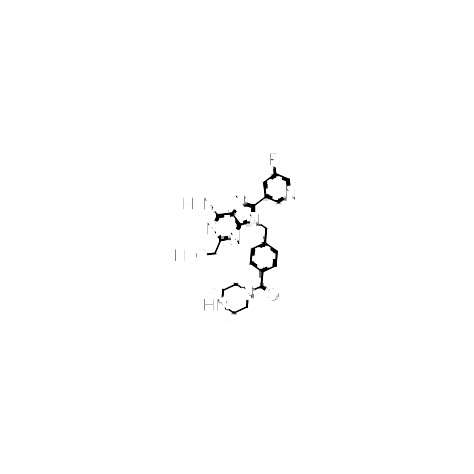 CCc1nc(N)c2nc(-c3cncc(F)c3)n(Cc3ccc(C(=O)N4CCNCC4)cc3)c2n1